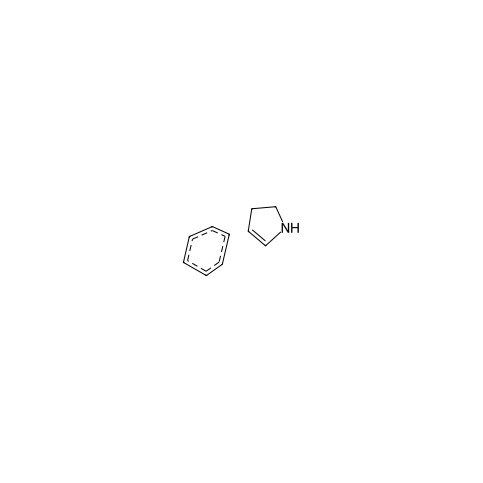 C1=CNCC1.c1ccccc1